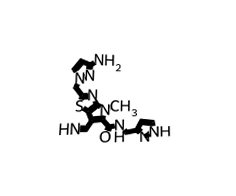 Cn1c(C(=O)NCc2cc[nH]n2)c(C=N)c2sc(Cn3ccc(N)n3)nc21